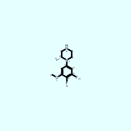 COc1cc(N2CCNC[C@H]2C)cc(F)c1F